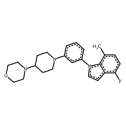 Cc1ccc(F)c2ccn(-c3cccc(N4CCC(N5CCOCC5)CC4)c3)c12